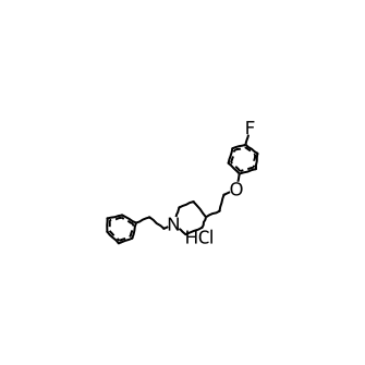 Cl.Fc1ccc(OCCC2CCN(CCc3ccccc3)CC2)cc1